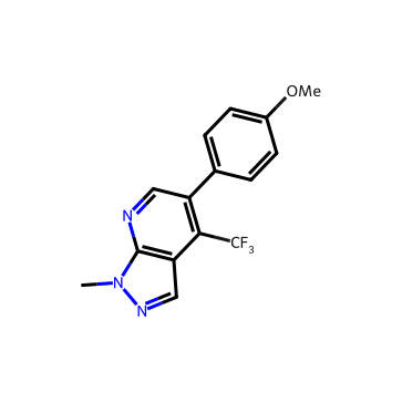 COc1ccc(-c2cnc3c(cnn3C)c2C(F)(F)F)cc1